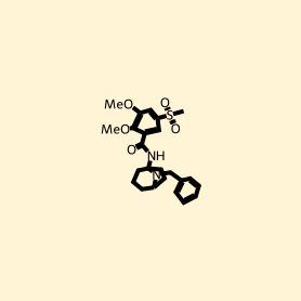 COc1cc(S(C)(=O)=O)cc(C(=O)NC23CCCC(CC2)N3Cc2ccccc2)c1OC